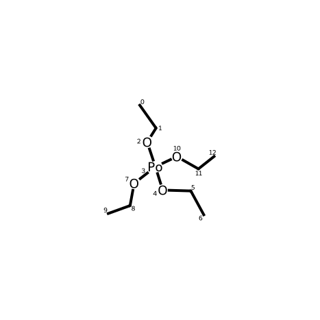 CC[O][Po]([O]CC)([O]CC)[O]CC